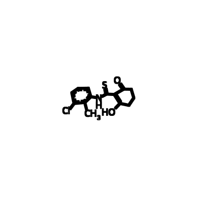 Cc1c(Cl)cccc1NC(=S)C1=C(O)CCCC1=O